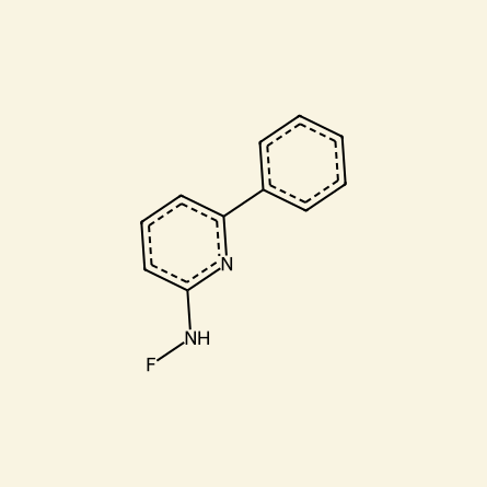 FNc1cccc(-c2ccccc2)n1